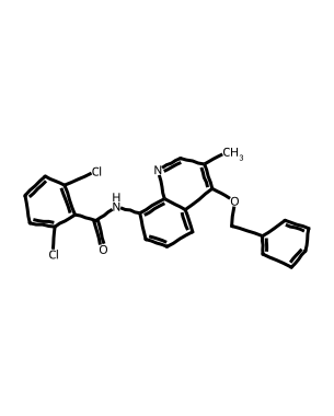 Cc1cnc2c(NC(=O)c3c(Cl)cccc3Cl)cccc2c1OCc1ccccc1